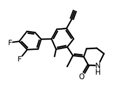 C#Cc1cc(/C(C)=C2\CCCNC2=O)c(C)c(-c2ccc(F)c(F)c2)c1